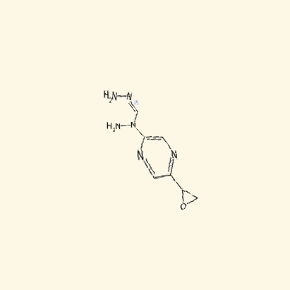 N/N=C\N(N)c1cnc(C2CO2)cn1